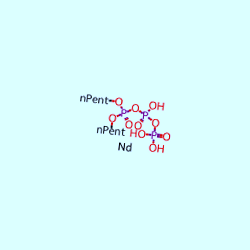 CCCCCOP(=O)(OCCCCC)OP(=O)(O)OP(=O)(O)O.[Nd]